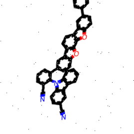 N#Cc1ccc2c(c1)c1ccccc1n2-c1c(C#N)cccc1-c1ccc2oc3c(ccc4c5cc(-c6ccccc6)ccc5oc43)c2c1